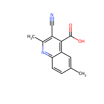 Cc1ccc2nc(C)c(C#N)c(C(=O)O)c2c1